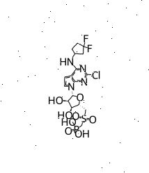 O=P(O)(O)CS(=O)(=O)C[C@H]1O[C@@H](n2ccc3c(NC4CCC(F)(F)C4)nc(Cl)nc32)[C@H](O)[C@@H]1O